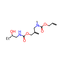 C=CCOC(=O)N(C)CC(=C)COC(=O)NC[C@H](O)CC